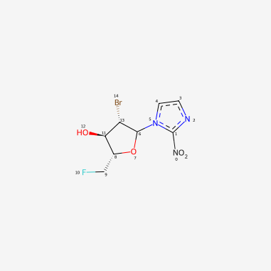 O=[N+]([O-])c1nccn1C1O[C@H](CF)[C@@H](O)[C@@H]1Br